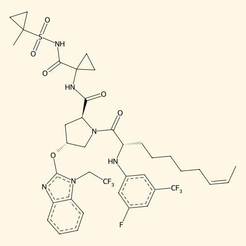 C/C=C\CCCCC[C@H](Nc1cc(F)cc(C(F)(F)F)c1)C(=O)N1C[C@H](Oc2nc3ccccc3n2CC(F)(F)F)C[C@H]1C(=O)NC1(C(=O)NS(=O)(=O)C2(C)CC2)CC1